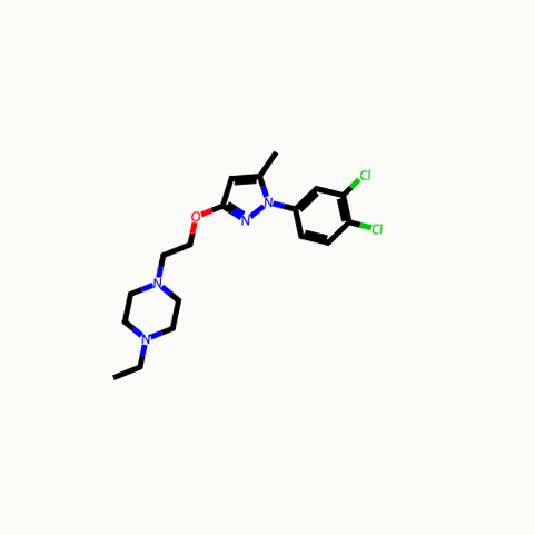 CCN1CCN(CCOc2cc(C)n(-c3ccc(Cl)c(Cl)c3)n2)CC1